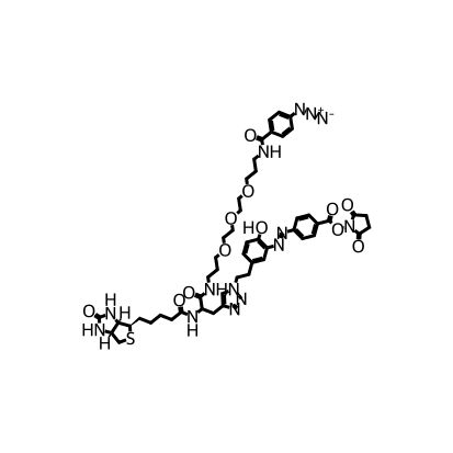 [N-]=[N+]=Nc1ccc(C(=O)NCCCOCCOCCOCCCNC(=O)C(Cc2cn(CCc3ccc(O)c(/N=N/c4ccc(C(=O)ON5C(=O)CCC5=O)cc4)c3)nn2)NC(=O)CCCC[C@H]2SC[C@H]3NC(=O)N[C@H]32)cc1